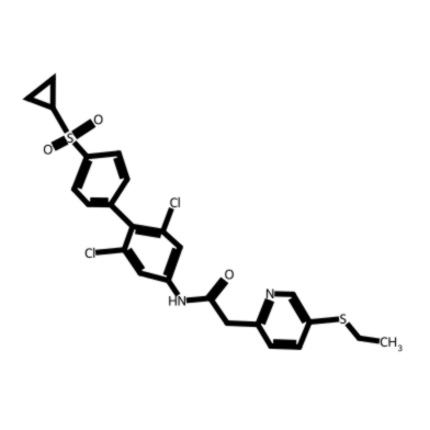 CCSc1ccc(CC(=O)Nc2cc(Cl)c(-c3ccc(S(=O)(=O)C4CC4)cc3)c(Cl)c2)nc1